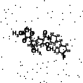 COc1cc2c(cc1C(=O)N1CCC(Cc3ccc(F)cc3)CC1)c(C(=O)C(=O)N(C)C)cn2C